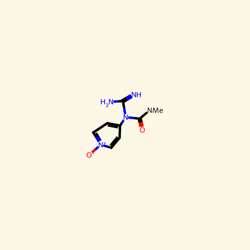 CNC(=O)N(C(=N)N)c1cc[n+]([O-])cc1